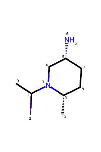 CC(I)N1C[C@H](N)CC[C@@H]1C